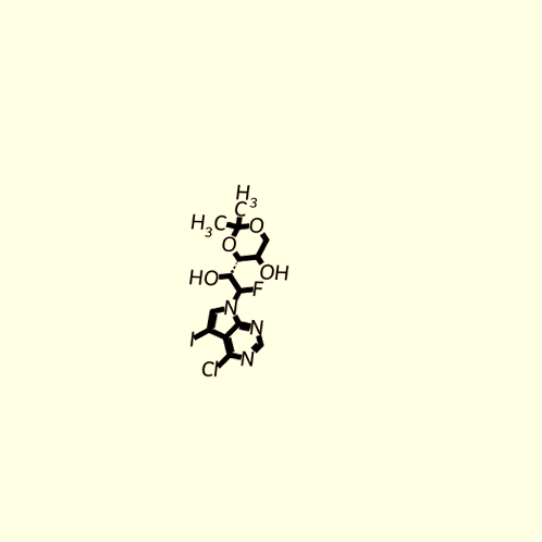 CC1(C)OCC(O)[C@H](C(O)C(F)n2cc(I)c3c(Cl)ncnc32)O1